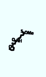 COC(=S)CCCCNC(=O)CSC1CCCCO1